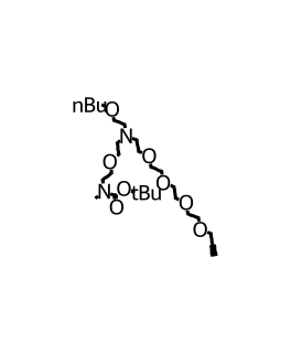 C#CCOCCOCCOCCOCCN(CCOCCCC)CCOCCN(C)C(=O)OC(C)(C)C